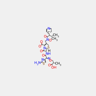 CCC(C(=O)N(CC1=C(C(=O)[O-])N2C(=O)C(NC(=O)C(=NOCC(C)C(=O)O)c3csc(N)n3)[C@@H]2SC1)OC)[C+]1C=CN=CC1